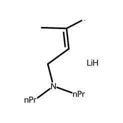 [CH2]C(C)=CCN(CCC)CCC.[LiH]